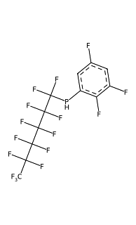 Fc1cc(F)c(F)c(PC(F)(F)C(F)(F)C(F)(F)C(F)(F)C(F)(F)C(F)(F)F)c1